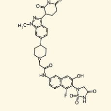 Cn1nc(C2CCC(=O)NC2=O)c2ccc(C3CCN(CC(=O)Nc4ccc5c(F)c(N6CC(=O)NS6(=O)=O)c(O)cc5c4)CC3)cc21